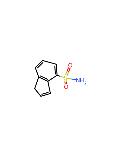 NS(=O)(=O)c1cccc2c1C=CC2